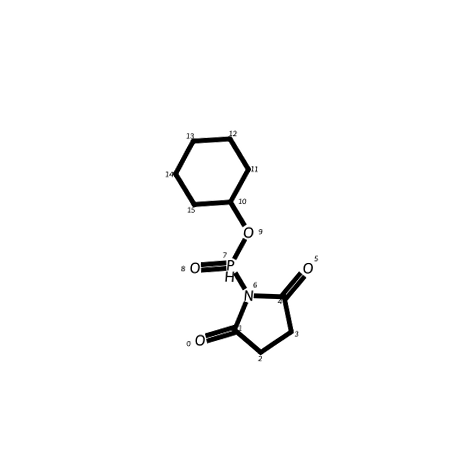 O=C1CCC(=O)N1[PH](=O)OC1CCCCC1